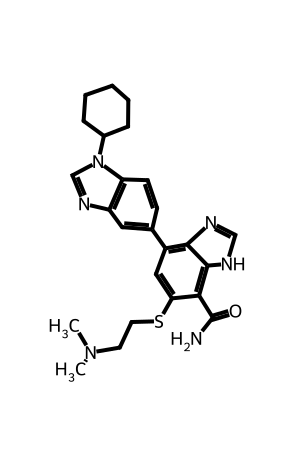 CN(C)CCSc1cc(-c2ccc3c(c2)ncn3C2CCCCC2)c2nc[nH]c2c1C(N)=O